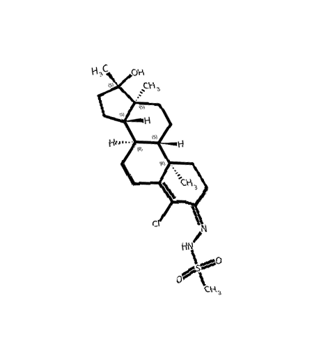 C[C@]12CCC(=NNS(C)(=O)=O)C(Cl)=C1CC[C@@H]1[C@@H]2CC[C@@]2(C)[C@H]1CC[C@]2(C)O